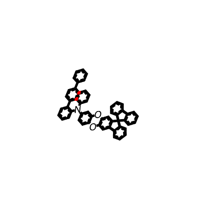 c1ccc(-c2ccc(-c3ccccc3N(c3ccccc3)c3ccc4c(c3)Oc3cc5c(cc3O4)-c3ccccc3C53c4ccccc4-c4ccccc43)cc2)cc1